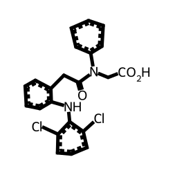 O=C(O)CN(C(=O)Cc1ccccc1Nc1c(Cl)cccc1Cl)c1ccccc1